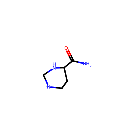 NC(=O)C1CC[N]CN1